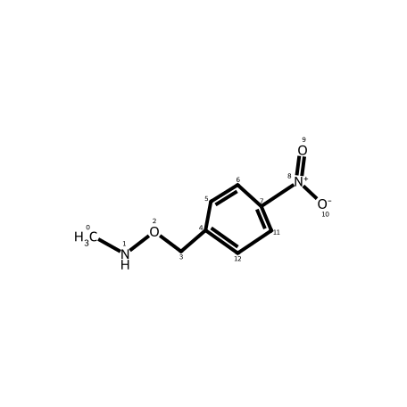 CNOCc1ccc([N+](=O)[O-])cc1